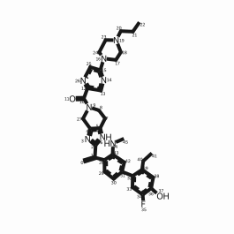 C=C(c1nc2c([nH]1)CCN(C(=O)c1cnc(N3CCN(CCC)CC3)cn1)C2)c1ccc(-c2cc(F)c(O)cc2CC)cc1NC